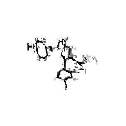 Cc1ccc(-c2cn3c(N4CCNCC4)cnc3cc2CN)c(Cl)c1